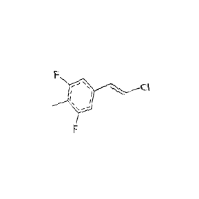 Cc1c(F)cc(/C=C/Cl)cc1F